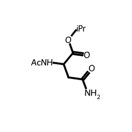 CC(=O)NC(CC(N)=O)C(=O)OC(C)C